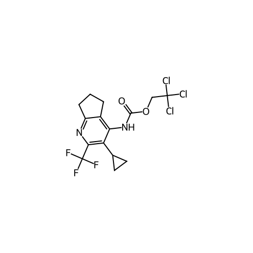 O=C(Nc1c2c(nc(C(F)(F)F)c1C1CC1)CCC2)OCC(Cl)(Cl)Cl